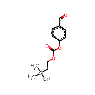 C[Si](C)(C)CCOC(=O)Oc1ccc(C=O)cc1